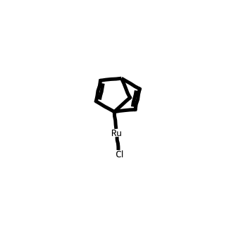 [Cl][Ru][C]12C=CC(C=C1)C2